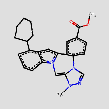 COC(=O)c1ccc2c(c1)-c1cc3c(C4CCCCC4)cccc3n1C=C1N(C)N=CN12